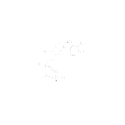 NC1NC=Nc2c1ncn2[C@@H]1O[C@H](COP(=O)(O)OP(=O)(O)OP(=O)(O)O)C(O)C1O